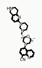 C[C@@H]1CN(c2ccc(C#N)c3ncccc23)C[C@H](CN2CCCN(c3ccc4c(n3)CCNC4)C2)O1